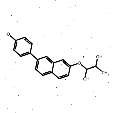 CC(O)C(O)Oc1ccc2ccc(-c3ccc(O)cc3)cc2c1